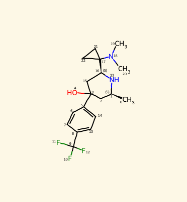 C[C@H]1CC(O)(c2ccc(C(F)(F)F)cc2)C[C@@H](C2(N(C)C)CC2)N1